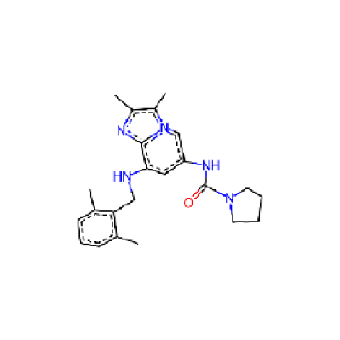 Cc1cccc(C)c1CNc1cc(NC(=O)N2CCCC2)cn2c(C)c(C)nc12